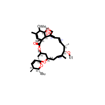 CCO[C@@H]1/C(C)=C/C[C@@H]2C[C@@H](C[C@]3(C=C[C@H](C)[C@@H](C(C)CC)O3)O2)OC(=O)[C@@H]2C=C(C)C(OC)[C@H]3OC/C(=C\C=C\[C@@H]1C)[C@]32O